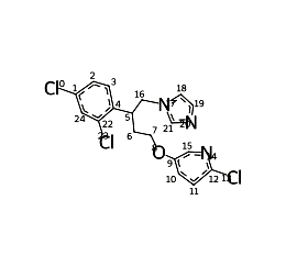 Clc1ccc(C(CCOc2ccc(Cl)nc2)Cn2ccnc2)c(Cl)c1